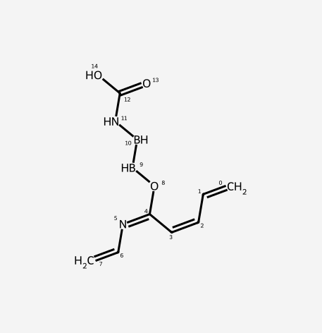 C=C/C=C\C(=N/C=C)OBBNC(=O)O